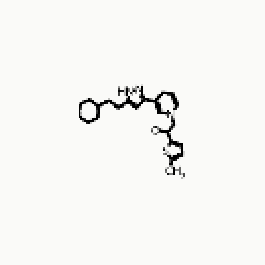 Cc1ccc(C(=O)CN2C=CCC(c3cc(CCC4CCCCC4)[nH]n3)=C2)s1